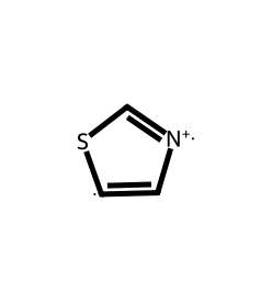 [C]1=C[N+]=CS1